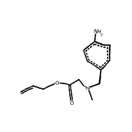 C=CCOC(=O)CN(C)Cc1ccc(N)cc1